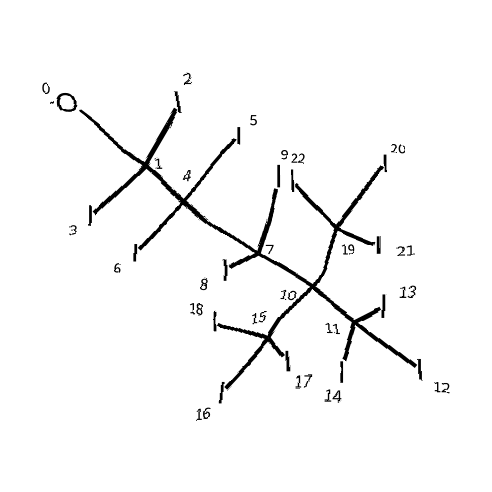 [O]C(I)(I)C(I)(I)C(I)(I)C(C(I)(I)I)(C(I)(I)I)C(I)(I)I